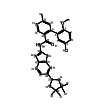 COc1ccc(Cl)cc1-c1cc(C)ncc1C(=O)Nc1nc2ncc(B3OC(C)(C)C(C)(C)O3)nc2s1